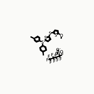 COc1ccc(Sc2ccc([S+](c3ccc(C)cc3)c3ccc(C)cc3)s2)s1.O=S(=O)([O-])C(F)(F)C(F)(F)C(F)(F)C(F)(F)F